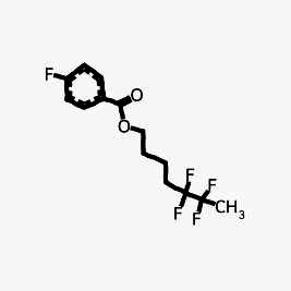 CC(F)(F)C(F)(F)CCCCOC(=O)c1ccc(F)cc1